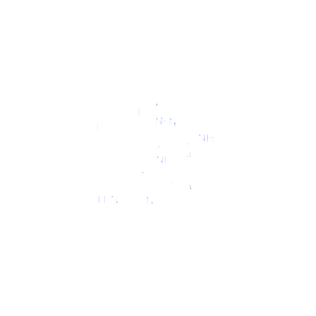 CCCc1c(NC(=O)c2cc(N)cnc2OCC)c(C(N)=O)nn1C